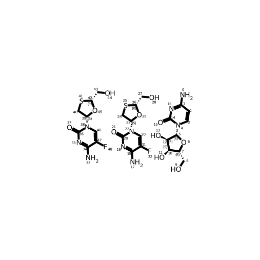 Nc1ccn([C@@H]2O[C@H](CO)[C@@H](O)[C@H]2O)c(=O)n1.Nc1nc(=O)n([C@@H]2CS[C@H](CO)O2)cc1F.Nc1nc(=O)n([C@@H]2CS[C@H](CO)O2)cc1F